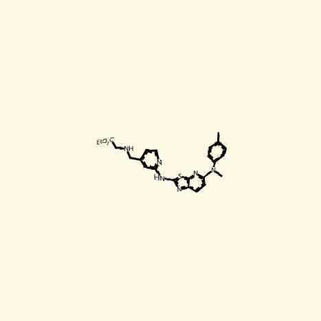 CCOC(=O)CNCc1ccnc(Nc2nc3ccc(N(C)c4ccc(C)cc4)nc3s2)c1